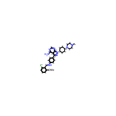 COc1cccc(F)c1CNc1ccc(-c2nn([C@H]3CC[C@@H](N4CCN(C)CC4)CC3)c3ncnc(N)c23)cc1